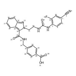 N#Cc1ccc(NC(=O)NCCn2nc3ccccc3c2C(=O)NCc2ccc(C(=O)O)cc2)c(F)c1